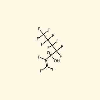 O=P(O)(C(F)=C(F)F)C(F)(F)C(F)(F)C(F)(F)C(F)(F)F